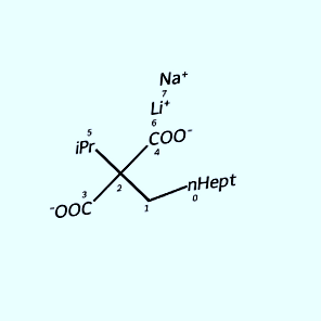 CCCCCCCCC(C(=O)[O-])(C(=O)[O-])C(C)C.[Li+].[Na+]